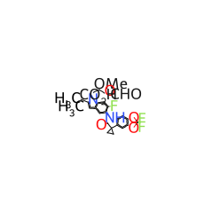 COC(COC=O)Cn1c(C(C)(C)C(=O)O)cc2cc(NC(=O)C3(c4ccc5c(c4)OC(F)(F)O5)CC3)c(F)cc21